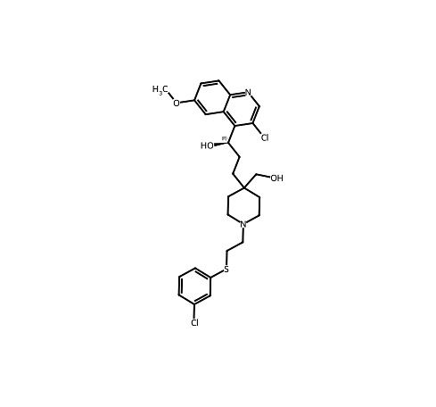 COc1ccc2ncc(Cl)c([C@H](O)CCC3(CO)CCN(CCSc4cccc(Cl)c4)CC3)c2c1